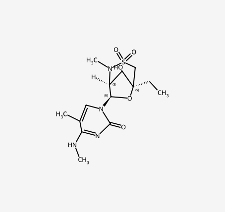 CC[C@@]12CS(=O)(=O)N(C)[C@@H](C1O)[C@H](n1cc(C)c(NC)nc1=O)O2